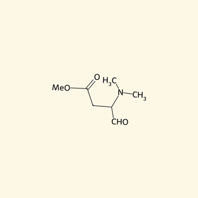 COC(=O)CC(C=O)N(C)C